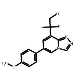 FC(F)(F)Oc1ccc(-c2cc(C(F)(F)CCl)c3nncn3c2)cc1